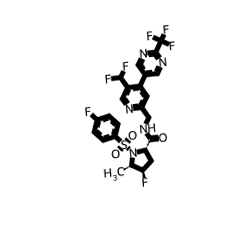 C[C@H]1[C@H](F)C[C@@H](C(=O)NCc2cc(-c3cnc(C(F)(F)F)nc3)c(C(F)F)cn2)N1S(=O)(=O)c1ccc(F)cc1